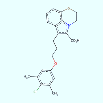 Cc1cc(OCCCc2c(C(=O)O)n3c4c(cccc24)SCC3)cc(C)c1Cl